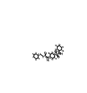 O=C(C=Cc1ccccc1)Nc1ccc(S(=O)(=O)Nc2ccccc2)cc1